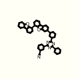 N#Cc1cccc(-c2nc(-c3ccccc3)nc(-c3cccc(-c4ccc5c(c4)oc4c(-c6cccc7c6oc6ccccc67)cccc45)c3)n2)c1